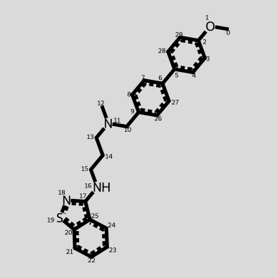 COc1ccc(-c2ccc(CN(C)CCCNc3nsc4ccccc34)cc2)cc1